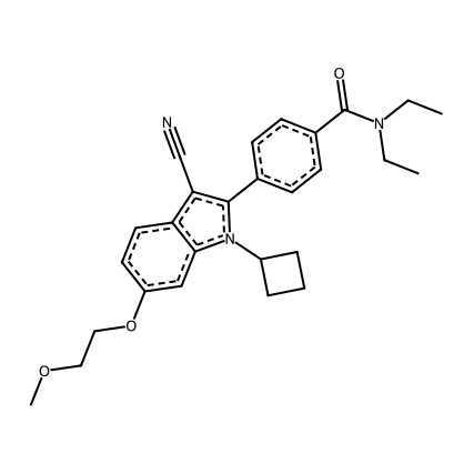 CCN(CC)C(=O)c1ccc(-c2c(C#N)c3ccc(OCCOC)cc3n2C2CCC2)cc1